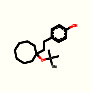 CC(C)(C)[Si](C)(C)OC1(CCc2ccc(O)cc2)CCCCCCC1